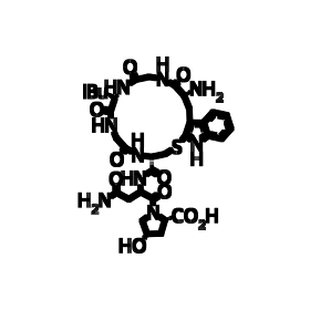 CC[C@H](C)[C@@H]1NC(=O)CNC(=O)[C@H](N)Cc2c([nH]c3ccccc23)SC[C@H](C(=O)NC(CC(N)=O)C(=O)N2C[C@H](O)C[C@H]2C(=O)O)NC(=O)CNC1=O